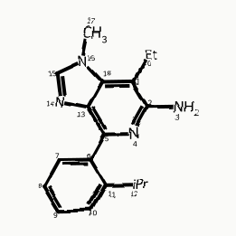 CCc1c(N)nc(-c2ccccc2C(C)C)c2ncn(C)c12